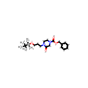 CC(C)(C)[Si](C)(C)OCCCN1CCN(C(=O)OCc2ccccc2)CC1=O